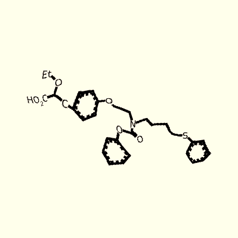 CCOC(Cc1ccc(OCCN(CCCCSc2ccccc2)C(=O)Oc2ccccc2)cc1)C(=O)O